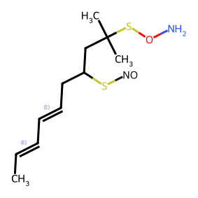 C/C=C/C=C/CC(CC(C)(C)SON)SN=O